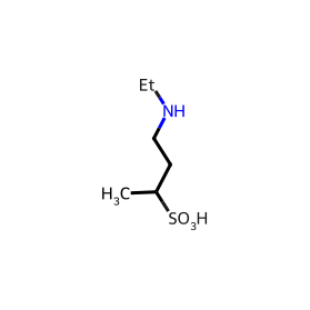 CCNCCC(C)S(=O)(=O)O